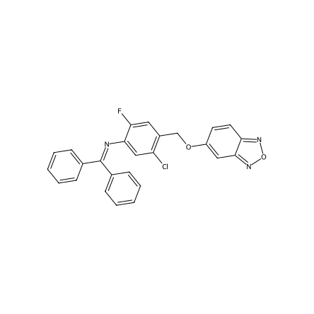 Fc1cc(COc2ccc3nonc3c2)c(Cl)cc1N=C(c1ccccc1)c1ccccc1